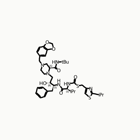 CC(C)c1nc(CSC(=O)N[C@H](C(=O)N[C@@H](Cc2ccccc2)[C@H](O)CN2CCN(Cc3ccc4c(c3)OCO4)C[C@H]2C(=O)NC(C)(C)C)C(C)C)cs1